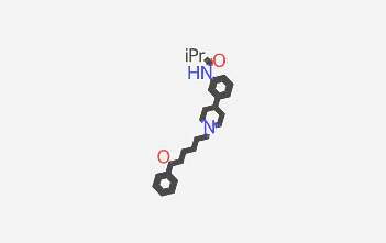 CC(C)C(=O)Nc1cccc(C2CCN(CCCCCC(=O)c3ccccc3)CC2)c1